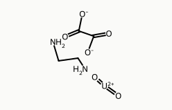 NCCN.O=C([O-])C(=O)[O-].[O]=[U+2]=[O]